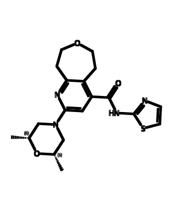 C[C@@H]1CN(c2cc(C(=O)Nc3nccs3)c3c(n2)CCOCC3)C[C@H](C)O1